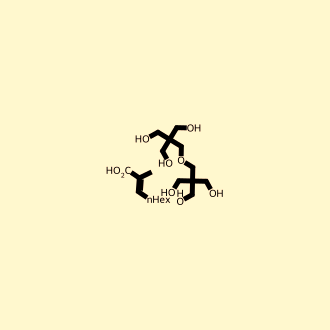 CCCCCCC=C(C)C(=O)O.OCC(CO)(CO)COCC(CO)(CO)CO